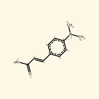 CCCC(=O)C=Cc1ccc(N(C)C)cc1